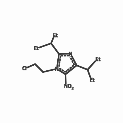 CCC(CC)c1nc(C(CC)CC)n(CCCl)c1[N+](=O)[O-]